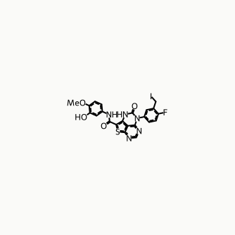 COc1ccc(NC(=O)c2sc3ncnc4c3c2NC(=O)N4c2ccc(F)c(CI)c2)cc1O